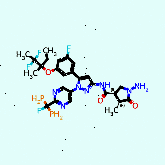 CCC(C)(Oc1cc(F)cc(-c2cc(NC(=O)[C@H]3CN(N)C(=O)[C@@H]3C)nn2-c2cnc(C(F)(P)P)nc2)c1)C(C)(F)F